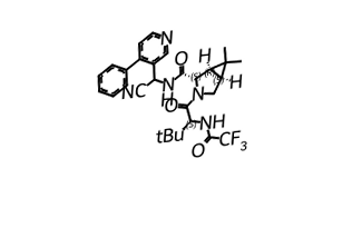 CC(C)(C)[C@H](NC(=O)C(F)(F)F)C(=O)N1C[C@H]2[C@@H]([C@H]1C(=O)NC(C#N)c1cnccc1-c1ccccc1)C2(C)C